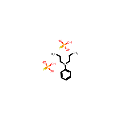 CC[CH2][Mo]([CH2]CC)[c]1ccccc1.OP(O)(O)=S.OP(O)(O)=S